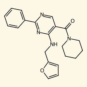 O=C(c1cnc(-c2ccccc2)nc1NCc1ccco1)N1CCCCC1